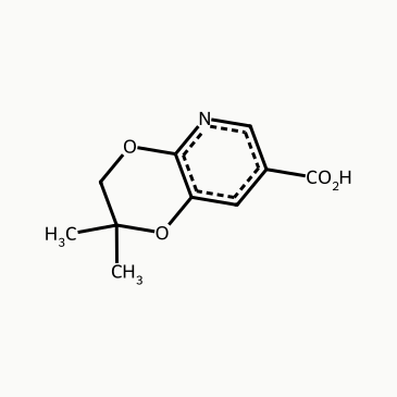 CC1(C)COc2ncc(C(=O)O)cc2O1